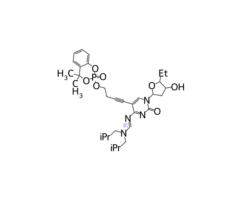 CCC1OC(n2cc(C#CCCOP3(=O)Oc4ccccc4C(C)(C)O3)c(/N=C/N(CC(C)C)CC(C)C)nc2=O)CC1O